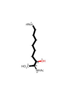 CCCCCCCCCCCCCCC[C@@H](O)[C@@H](NC(C)=O)C(=O)O